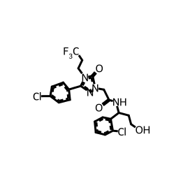 O=C(Cn1nc(-c2ccc(Cl)cc2)n(CCC(F)(F)F)c1=O)NC(CCO)c1ccccc1Cl